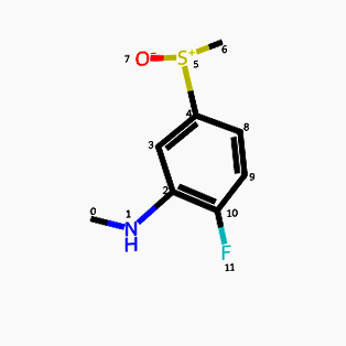 CNc1cc([S+](C)[O-])ccc1F